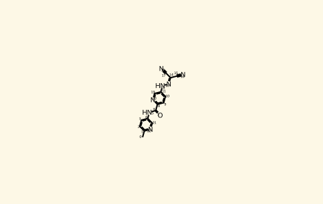 Cc1ccc(NC(=O)c2ccc(NN=C(C#N)C#N)cn2)cn1